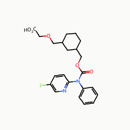 O=C(O)COCC1CCCC(COC(=O)N(c2ccccc2)c2ccc(F)cn2)C1